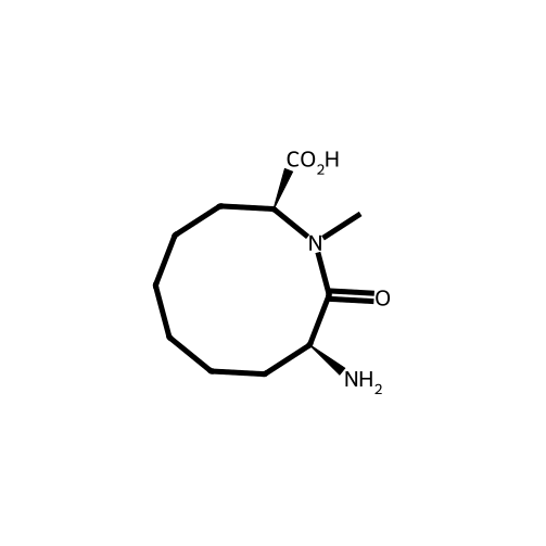 CN1C(=O)[C@@H](N)CCCCCC[C@H]1C(=O)O